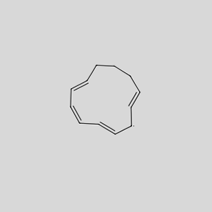 [CH]1/C=C/C=C\C=C\CCC/C=C/1